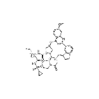 C=C[C@H]1C[C@]1(NC(=O)[C@@H]1C[C@@H](Oc2cc(-c3ccccc3)nc3cc(OC)ccc23)CN1C(=O)[C@@H](CC(=O)N1CCCCC1)CC1CCCC1)C(=O)NS(=O)(=O)C1CC1